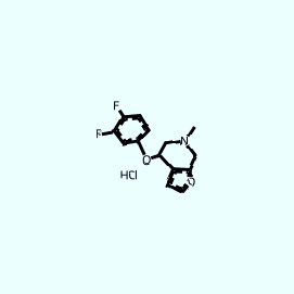 CN1Cc2occc2C(Oc2ccc(F)c(F)c2)C1.Cl